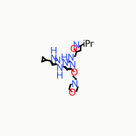 CC(C)C1=NOC(CNc2nc(Nc3cc(C4CC4)[nH]n3)cc(OCCN3CCOCC3)n2)C1